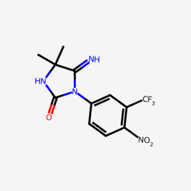 CC1(C)NC(=O)N(c2ccc([N+](=O)[O-])c(C(F)(F)F)c2)C1=N